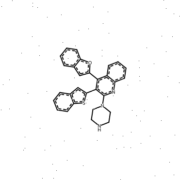 c1ccc2oc(-c3c(-c4cc5ccccc5s4)c(N4CCNCC4)nc4ccccc34)cc2c1